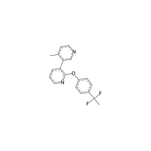 Cc1ccncc1-c1cccnc1Oc1ccc(C(C)(F)F)cc1